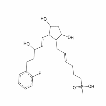 CP(=O)(O)CCCC=CCC1C(O)CC(O)C1C=CC(O)CCc1ccccc1F